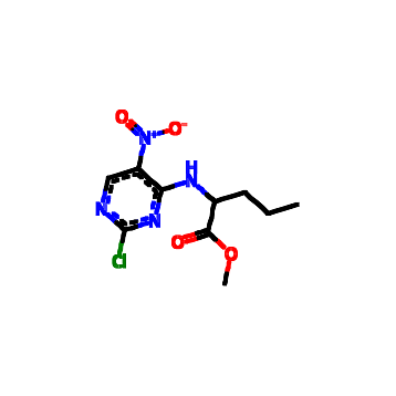 CCCC(Nc1nc(Cl)ncc1[N+](=O)[O-])C(=O)OC